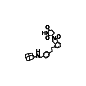 O=C1CCC(N2Cc3c(CCc4ccc(CNCC56CC7CC8CC(C5)C876)cc4)cccc3C2=O)C(=O)N1